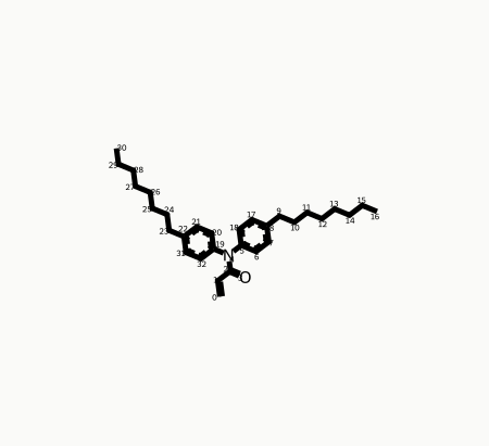 C=CC(=O)N(c1ccc(CCCCCCCC)cc1)c1ccc(CCCCCCCC)cc1